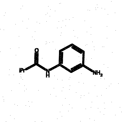 CC(C)C(=O)Nc1cccc(N)c1